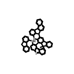 CC1(C)c2ccccc2-c2cc3c(c(-c4c(Nc5cccc6c5-c5ccccc5C6)ccc5sc6ccccc6c45)c21)Bc1cccc2c1C3c1ccc3ccccc3c1-2